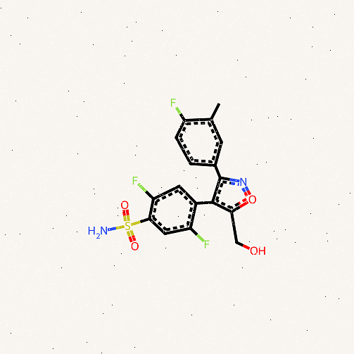 Cc1cc(-c2noc(CO)c2-c2cc(F)c(S(N)(=O)=O)cc2F)ccc1F